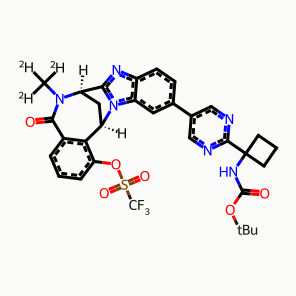 [2H]C([2H])([2H])N1C(=O)c2cccc(OS(=O)(=O)C(F)(F)F)c2[C@H]2C[C@@H]1c1nc3ccc(-c4cnc(C5(NC(=O)OC(C)(C)C)CCC5)nc4)cc3n12